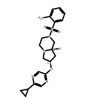 O=S(=O)(c1ccccc1C(F)(F)F)N1CCN2C[C@H](Oc3cnc(C4CC4)cn3)C[C@H]2C1